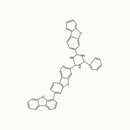 c1ccc(C2NC(c3ccc4c(c3)oc3ccccc34)NC(c3ccc4c(c3)sc3cc(-c5cccc6c5oc5ccccc56)ccc34)N2)cc1